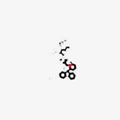 COc1ccc(C(Nc2ncnc3c2ncn3C2OC3C(C)OP(=O)(OC(C)C)OC3C2O[Si](C)(C)C(C)(C)C)(c2ccccc2)c2ccccc2)cc1